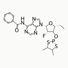 CC[C@H]1O[C@@H](n2cnc3c(NC(=O)c4ccccc4)ncnc32)[C@@H](F)C1OP1SC(C)C(C)S1